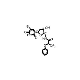 CCc1cn([C@H]2C[C@H](O)[C@@H](CNC(=O)C(C)Oc3ccccc3)O2)c(=O)[nH]c1=O